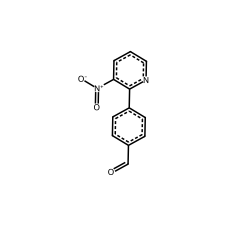 O=Cc1ccc(-c2ncccc2[N+](=O)[O-])cc1